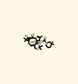 CC1=C[C@]23C(=O)CC4(C/C=C5/COC(C)(C)O[C@H]5[C@]2(O)[C@H]1OC(=O)N1CCCC(C)(C)C1)[C@@H](C[C@H]3C)C4(C)C